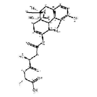 C[C@H](OC(=O)[C@@H](O)CC(=O)OC1=CC[C@@]2(O)[C@H]3Cc4ccc(O)c5c4[C@@]2(CCN3C)[C@H]1O5)C(=O)O